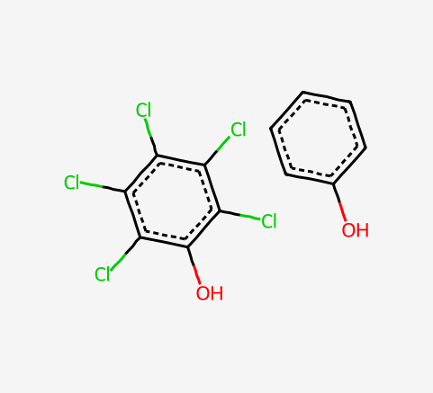 Oc1c(Cl)c(Cl)c(Cl)c(Cl)c1Cl.Oc1ccccc1